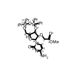 COC(=O)CO[C@H]1C2O[Si](C(C)C)(C(C)C)O[Si](C(C)C)(C(C)C)OC[C@H]2O[C@H]1n1ccc(N)nc1=O